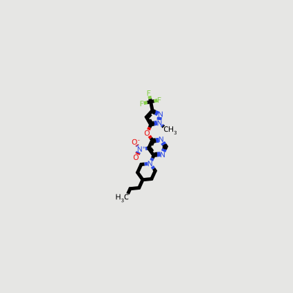 CCCC1CCN(c2ncnc(Oc3cc(C(F)(F)F)nn3C)c2[N+](=O)[O-])CC1